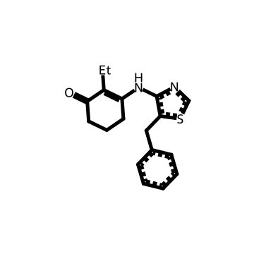 CCC1=C(Nc2ncsc2Cc2ccccc2)CCCC1=O